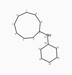 B(C1CCCCCCCC1)C1CCCCC1